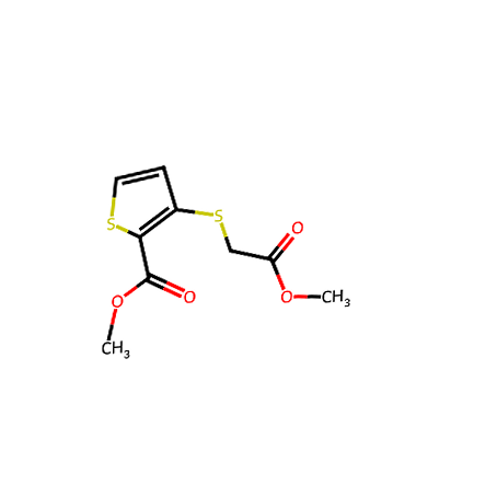 COC(=O)CSc1ccsc1C(=O)OC